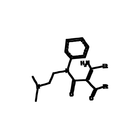 CCC(=O)C(C(=O)N(CCN(C)C)c1ccccc1)=C(N)CC